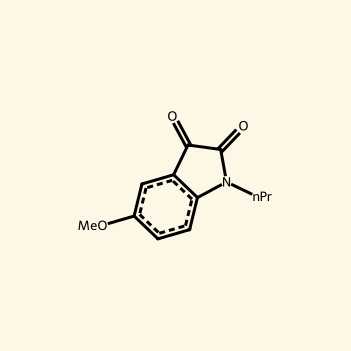 CCCN1C(=O)C(=O)c2cc(OC)ccc21